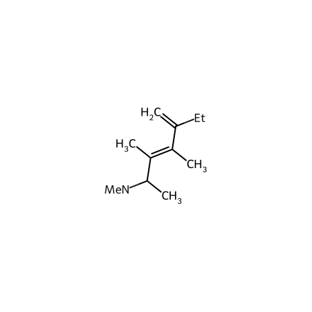 C=C(CC)/C(C)=C(\C)C(C)NC